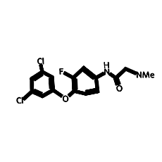 CNCC(=O)Nc1ccc(Oc2cc(Cl)cc(Cl)c2)c(F)c1